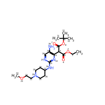 CCOC(=O)C(C(=O)OC(C)(C)C)c1nc(NC2CCN(CCOC)CC2)ncc1N